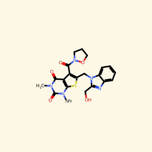 CCCn1c(=O)n(C)c(=O)c2c(C(=O)N3CCCO3)c(Cn3c(CO)nc4ccccc43)sc21